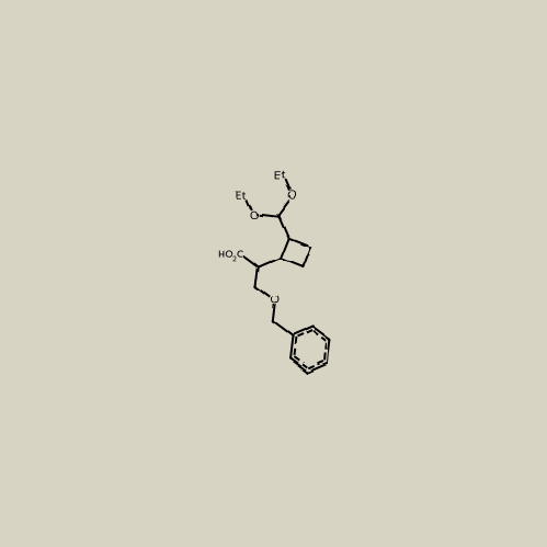 CCOC(OCC)C1CCC1C(COCc1ccccc1)C(=O)O